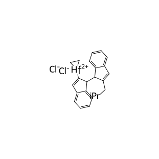 CC(C)CC1=Cc2ccccc2C1C1[C]([Hf+2]2[CH2][CH2]2)=Cc2ccccc21.[Cl-].[Cl-]